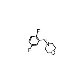 Fc1ccc(F)c([C]N2CCOCC2)c1